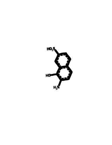 Nc1ccc2ccc(S(=O)(=O)O)cc2c1O